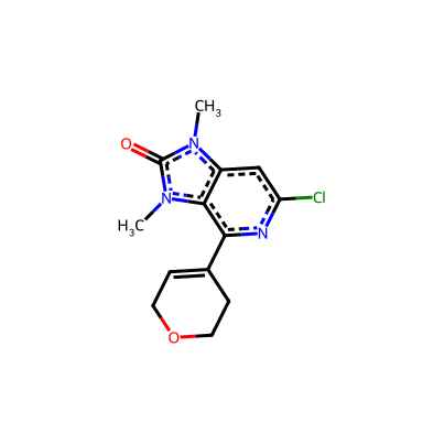 Cn1c(=O)n(C)c2c(C3=CCOCC3)nc(Cl)cc21